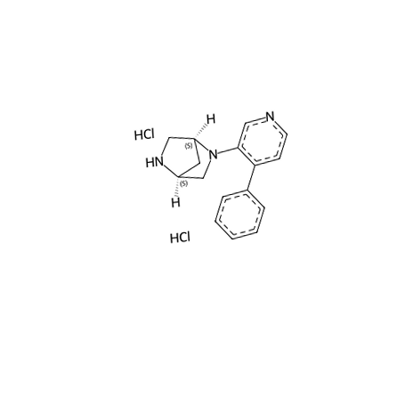 Cl.Cl.c1ccc(-c2ccncc2N2C[C@@H]3C[C@H]2CN3)cc1